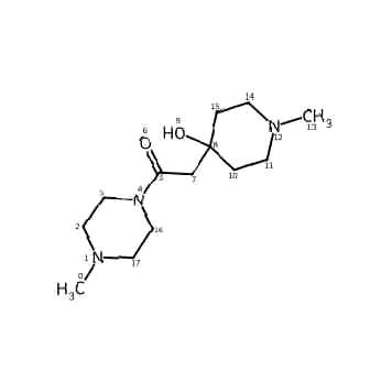 CN1CCN(C(=O)CC2(O)CCN(C)CC2)CC1